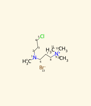 CN(CCCCl)CCC[N+](C)(C)C.[Br-]